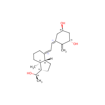 C=C1/C(=C\C=C2/CCC[C@]3(C)[C@@H]([C@@H](C)O)CC[C@@H]23)C[C@@H](O)C[C@@H]1O